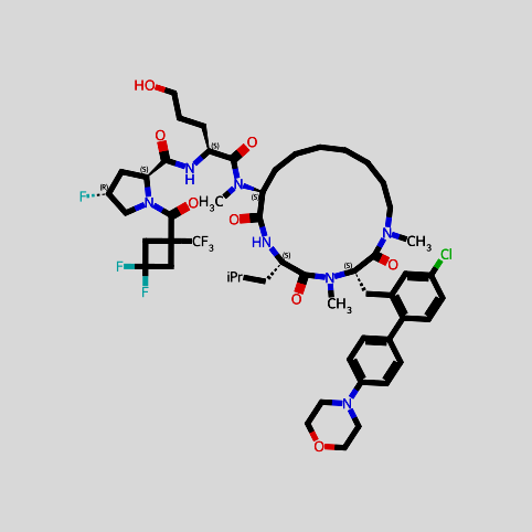 CC(C)C[C@@H]1NC(=O)[C@@H](N(C)C(=O)[C@H](CCCO)NC(=O)[C@@H]2C[C@@H](F)CN2C(=O)C2(C(F)(F)F)CC(F)(F)C2)CCCCCCCN(C)C(=O)[C@H](Cc2cc(Cl)ccc2-c2ccc(N3CCOCC3)cc2)N(C)C1=O